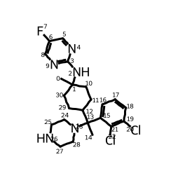 CC1(Nc2ncc(F)cn2)CCC(C(C)(c2cccc(Cl)c2Cl)N2CCNCC2)CC1